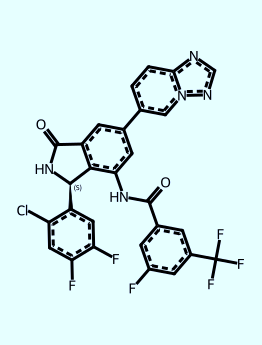 O=C(Nc1cc(-c2ccc3ncnn3c2)cc2c1[C@@H](c1cc(F)c(F)cc1Cl)NC2=O)c1cc(F)cc(C(F)(F)F)c1